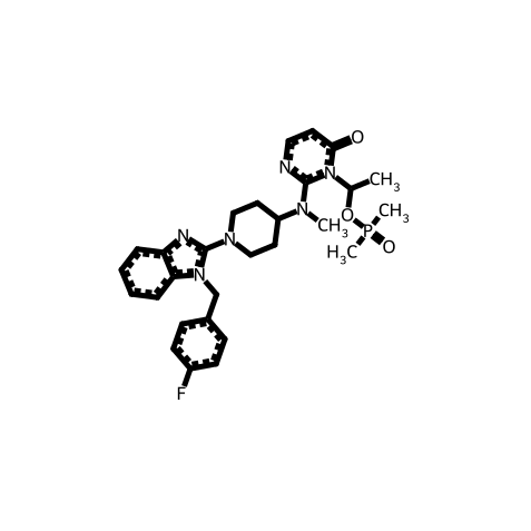 CC(OP(C)(C)=O)n1c(N(C)C2CCN(c3nc4ccccc4n3Cc3ccc(F)cc3)CC2)nccc1=O